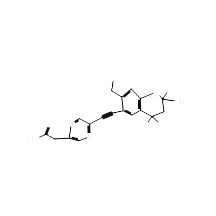 CCc1cc2c(cc1C#Cc1cnc(CC(=O)O)cn1)C(C)(C)CC(C)(C)O2